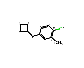 Cc1cc(CC2CCC2)ccc1Cl